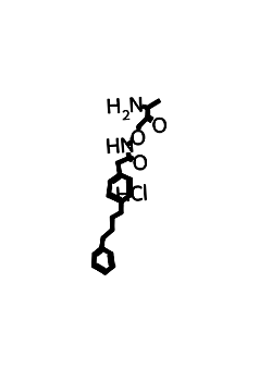 CC(N)C(=O)CONC(=O)Cc1ccc(CCCCc2ccccc2)cc1.Cl